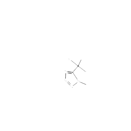 FC(F)(F)c1nnnn1Cl